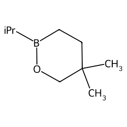 CC(C)B1CCC(C)(C)CO1